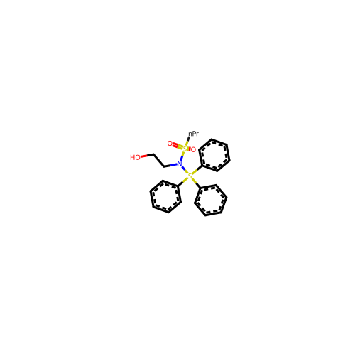 CCCS(=O)(=O)N(CCO)S(c1ccccc1)(c1ccccc1)c1ccccc1